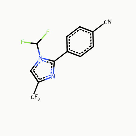 N#Cc1ccc(-c2nc(C(F)(F)F)cn2C(F)F)cc1